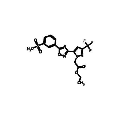 CCOC(=O)Cn1nc(C(F)(F)F)cc1-c1noc(-c2cccc(S(C)(=O)=O)c2)n1